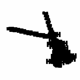 CCCCCCCCCCCCC/C=C/[C@@H](O)[C@H](CO[C@@H]1OC(CO)[C@@H](O[C@@H]2OC(CO)[C@H](O[C@@H]3OC(CO)[C@H](O[C@@H]4OC(CO)[C@H](O)[C@H](O)C4NC(C)=O)[C@H](O[C@@H]4OC(CO)[C@H](O)[C@H](O)C4NC(C)=O)C3O)[C@H](O)C2O)[C@H](O)C1O)NC(=O)CCCCCCCCCCCCCCCCCCCCCCCCC